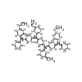 C=Cc1ccc2c(c1)c1cc(N(c3ccc(N(c4cccc(C)c4)c4ccc5c(c4)c4cc(C=C)ccc4n5-c4ccccc4)cc3)c3cccc(C)c3)ccc1n2-c1ccccc1